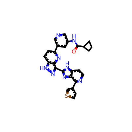 O=C(Nc1cncc(-c2ccc3[nH]nc(-c4nc5c(-c6ccsc6)nccc5[nH]4)c3n2)c1)C1CCC1